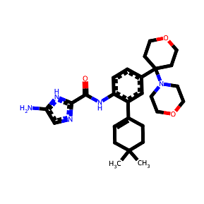 CC1(C)CC=C(c2cc(C3(N4CCOCC4)CCOCC3)ccc2NC(=O)c2ncc(N)[nH]2)CC1